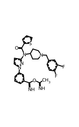 CC(=N)OC(=N)c1cccc(-n2ccc(N(C(=O)c3cccs3)C3CCN(Cc4ccc(F)c(F)c4)CC3)n2)c1